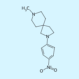 CN1CCC2(CC1)CCN(c1ccc([N+](=O)[O-])cc1)C2